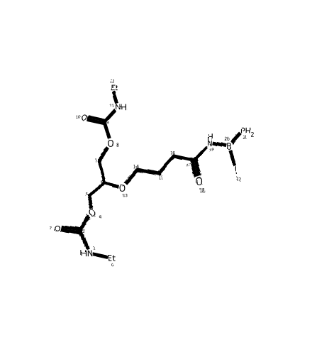 CCNC(=O)OCC(COC(=O)NCC)OCCCC(=O)NB(P)I